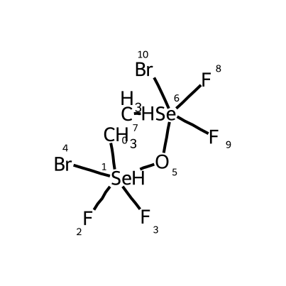 C[SeH](F)(F)(Br)O[SeH](C)(F)(F)Br